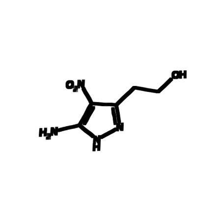 Nc1[nH]nc(CCO)c1[N+](=O)[O-]